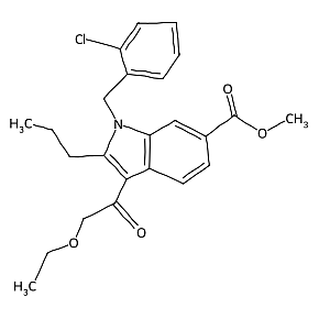 CCCc1c(C(=O)COCC)c2ccc(C(=O)OC)cc2n1Cc1ccccc1Cl